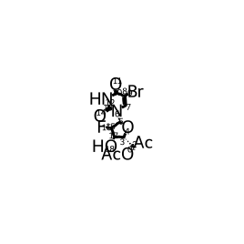 CC(=O)OC(C(C)=O)[C@H]1O[C@@H](n2cc(Br)c(=O)[nH]c2=O)[C@H](F)[C@@H]1O